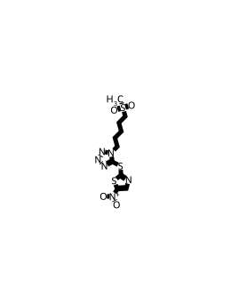 CS(=O)(=O)CCCCCn1nnnc1Sc1ncc([N+](=O)[O-])s1